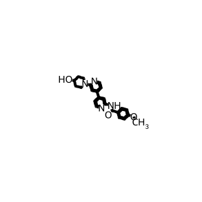 COc1ccc(C(=O)Nc2cc(-c3ccnc(N4CCC(O)CC4)c3)ccn2)cc1